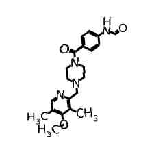 COc1c(C)cnc(CN2CCN(C(=O)c3ccc(NC=O)cc3)CC2)c1C